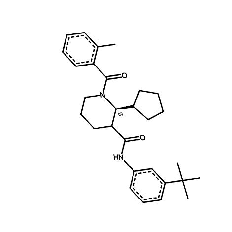 Cc1ccccc1C(=O)N1CCCC(C(=O)Nc2cccc(C(C)(C)C)c2)[C@@H]1C1CCCC1